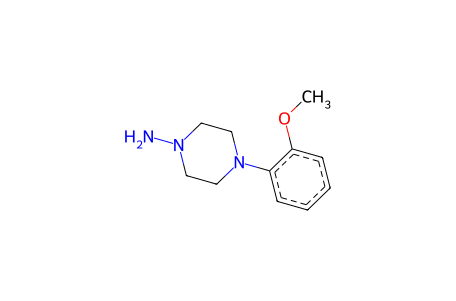 COc1ccccc1N1CCN(N)CC1